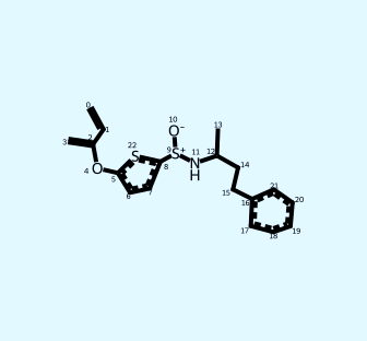 C=CC(=C)Oc1ccc([S+]([O-])NC(C)CCc2ccccc2)s1